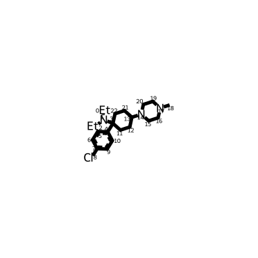 CCN(CC)C1(c2ccc(Cl)cc2)CCC(N2CCN(C)CC2)CC1